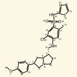 COc1ccc(C2CC3[C@H](CNc4cc(F)c(S(=O)(=O)Nc5nccs5)cc4Cl)CCN3C2)cc1